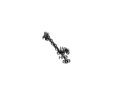 O=C(CCN1C(=O)C=CC1=O)NCCCC[C@H](NC(=O)CCN1C(=O)C=CC1=O)C(=O)NCCOCCOCCOCCOCCC(=O)Oc1c(F)c(F)cc(F)c1F